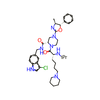 CC(C)N[C@H](CCCCN1CCCCC1)C(=O)N1CCN(C2=N[C@@H](C)[C@H](c3ccccc3)O2)C[C@H]1C(=O)NCc1ccc2[nH]cc(Cl)c2c1